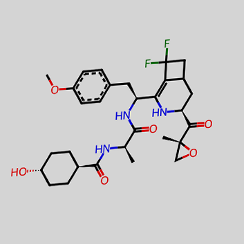 COc1ccc(C[C@H](NC(=O)[C@@H](C)NC(=O)[C@H]2CC[C@H](O)CC2)C2=C3C(C[C@@H](C(=O)[C@@]4(C)CO4)N2)CC3(F)F)cc1